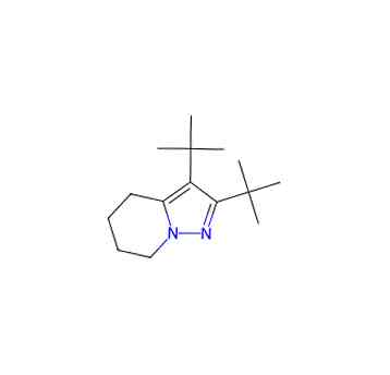 CC(C)(C)c1nn2c(c1C(C)(C)C)CCCC2